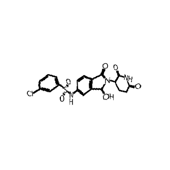 O=C1CCC(N2C(=O)c3ccc(NS(=O)(=O)c4cccc(Cl)c4)cc3C2O)C(=O)N1